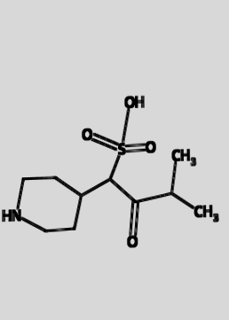 CC(C)C(=O)C(C1CCNCC1)S(=O)(=O)O